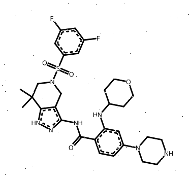 CC1(C)CN(S(=O)(=O)c2cc(F)cc(F)c2)Cc2c(NC(=O)c3ccc(N4CCNCC4)cc3NC3CCOCC3)n[nH]c21